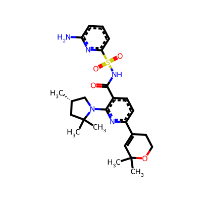 C[C@@H]1CN(c2nc(C3=CC(C)(C)OCC3)ccc2C(=O)NS(=O)(=O)c2cccc(N)n2)C(C)(C)C1